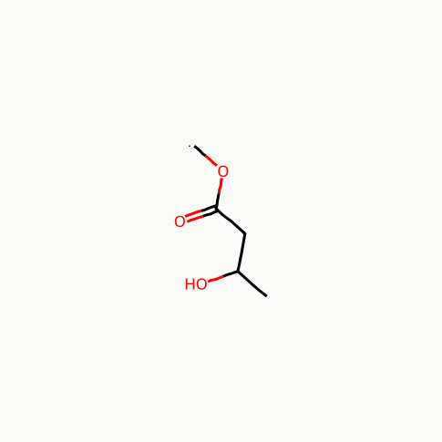 [CH2]OC(=O)CC(C)O